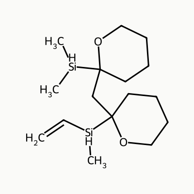 C=C[SiH](C)C1(CC2([SiH](C)C)CCCCO2)CCCCO1